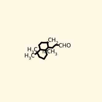 C=C1CCC2C(C)(C)CCC[C@]2(C)C1CCC=O